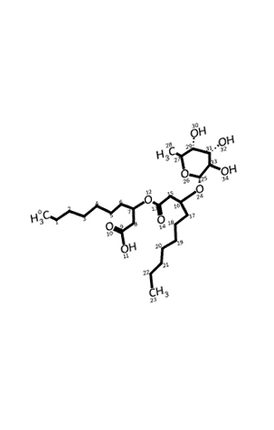 CCCCCCCC(CC(=O)O)OC(=O)CC(CCCCCCC)O[C@@H]1OC(C)[C@H](O)[C@H](O)C1O